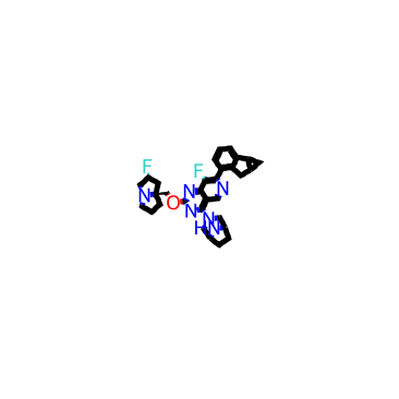 Fc1c(-c2cccc3c2CC2CC32)ncc2c(N3CC4CCC(C3)N4)nc(OC[C@@]34CCCN3C[C@H](F)C4)nc12